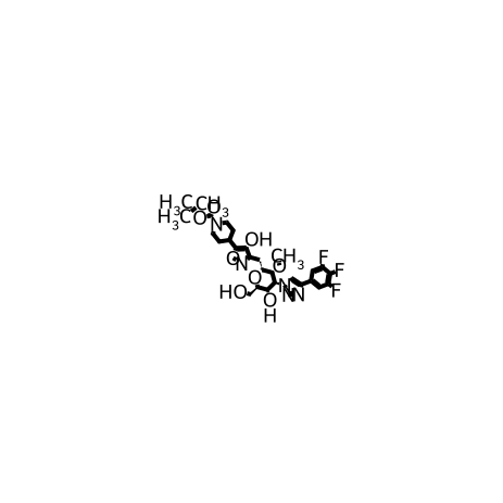 CO[C@@H]1[C@@H](n2cc(-c3cc(F)c(F)c(F)c3)nn2)[C@@H](O)[C@@H](CO)O[C@@H]1Cc1noc(C2CCN(C(=O)OC(C)(C)C)CC2)c1O